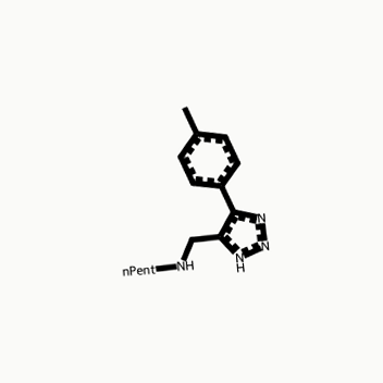 CCCCCNCc1[nH]nnc1-c1ccc(C)cc1